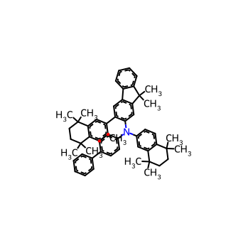 Cc1cc2c(cc1-c1cc3c(cc1N(c1ccc(-c4ccccc4)cc1)c1ccc4c(c1)C(C)(C)CCC4(C)C)C(C)(C)c1ccccc1-3)C(C)(C)CCC2(C)C